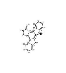 O=C1N=Cc2c3c(c4[nH]c5ccccc5c4c21)Cc1ccccc1-3